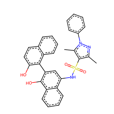 Cc1nn(-c2ccccc2)c(C)c1S(=O)(=O)Nc1cc(-c2c(O)ccc3ccccc23)c(O)c2ccccc12